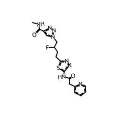 CNC(=O)c1cn(CC(F)CCc2nnc(NC(=O)Cc3ccccn3)s2)nn1